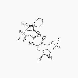 CC1(C)C2C(F)(F)NC(C(=O)N[C@@H](C[C@@H]3CCNC3=O)C(=O)COC(F)(F)F)C21C(=O)C1(O)CCCCC1